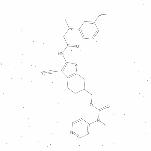 COc1cccc(C(C)CC(=O)Nc2sc3c(c2C#N)CCC(COC(=O)N(C)c2ccncc2)C3)c1